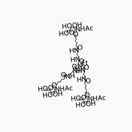 CCC(C(=O)NCCCNC(=O)CCCCCO[C@@H]1OC(CO)[C@H](O)C(O)[C@@H]1NC(C)=O)N(CC(=O)NCCCNC(=O)CCCCCO[C@@H]1OC(CO)[C@H](O)[C@H](O)C1NC(C)=O)CC(=O)NCCCNC(=O)CCCCCO[C@@H]1OC(CO)[C@H](O)C(O)[C@@H]1NC(C)=O